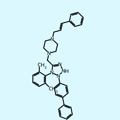 Cc1cccc(C)c1N1C(CN2CCN(CC=Cc3ccccc3)CC2)=NNN1c1ccc(-c2ccccc2)cc1